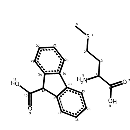 CSCCC(N)C(=O)O.O=C(O)C1c2ccccc2-c2ccccc21